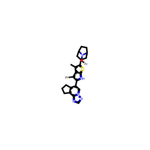 CC(=O)CN1C2CCC1CC(c1sc3[nH]c(-c4cn5ncnc5c5c4CCC5)c(C(C)C)c3c1C)C2